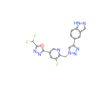 Fc1cc(-c2nnc(C(F)F)o2)cnc1Cn1cc(-c2ccc3[nH]ncc3c2)nn1